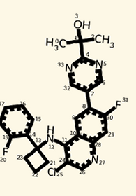 CC(C)(O)c1ncc(-c2cc3c(NC4(c5ccccc5F)CCC4)c(Cl)cnc3cc2F)cn1